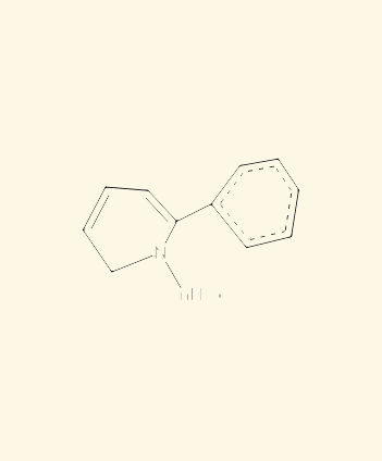 CCCCCCN1CC=C[C]=C1c1ccccc1